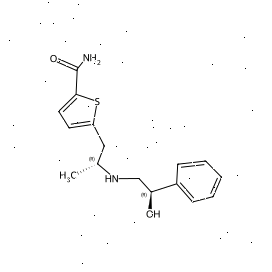 C[C@H](Cc1ccc(C(N)=O)s1)NC[C@H](O)c1ccccc1